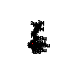 [2H]Cc1cc(C[2H])c(-c2ccc(-c3ccnc(-c4cc(-c5cccc6c5nc(-c5cc(C(C)(C)C)cc(C(C)(C)C)c5O)n6-c5ccc(C(C)(C)C)cc5-c5ccccc5)cc(C(C)(C)C)c4)c3)cc2)c(C[2H])c1